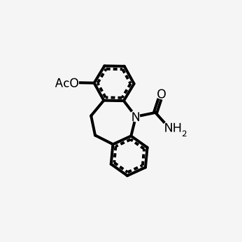 CC(=O)Oc1cccc2c1CCc1ccccc1N2C(N)=O